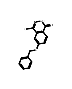 O=c1[nH]nc(Cl)c2cc(SCc3ccccc3)ccc12